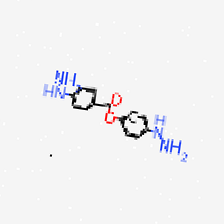 NNc1ccc(OC(=O)c2ccc(NN)cc2)cc1